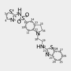 O=S(=O)(Nc1nccs1)c1ccc2c(c1)CCN2CCNc1nc2ccccc2s1